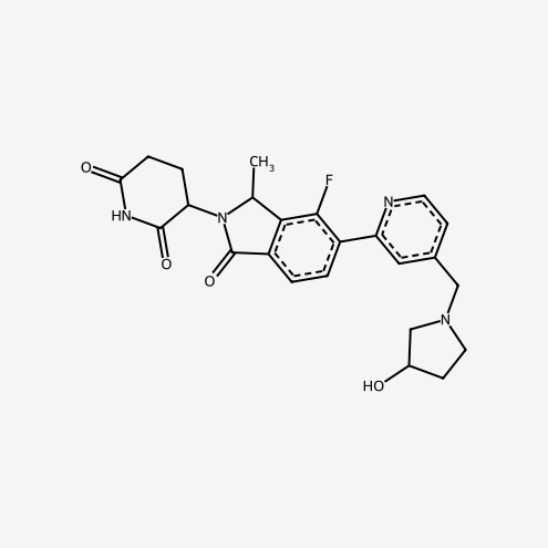 CC1c2c(ccc(-c3cc(CN4CCC(O)C4)ccn3)c2F)C(=O)N1C1CCC(=O)NC1=O